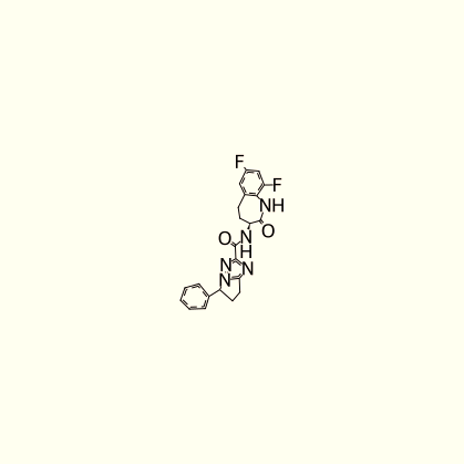 O=C(N[C@H]1CCc2cc(F)cc(F)c2NC1=O)c1nc2n(n1)C(c1ccccc1)CC2